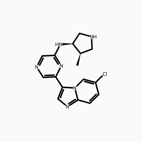 C[C@@H]1CNC[C@@H]1Nc1cncc(-c2cnc3ccc(Cl)cn23)n1